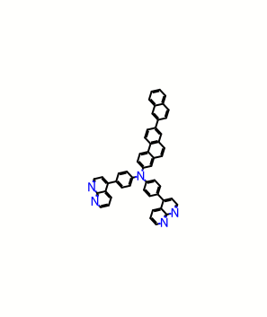 c1ccc2cc(-c3ccc4c(ccc5cc(N(c6ccc(-c7ccnc8ncccc78)cc6)c6ccc(-c7ccnc8ncccc78)cc6)ccc54)c3)ccc2c1